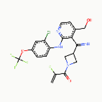 C=C(F)C(=O)N1CC(C(=N)c2c(CO)ccnc2Nc2ccc(OC(F)(F)F)cc2Cl)C1